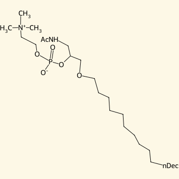 CCCCCCCCCCCCCCCCCCCCOCC(CNC(C)=O)OP(=O)([O-])OCC[N+](C)(C)C